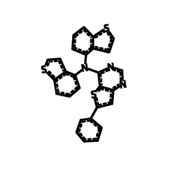 c1ccc(-c2cc3ncnc(N(c4cccc5sccc45)c4cccc5sccc45)c3s2)cc1